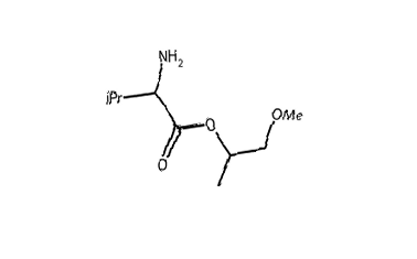 COCC(C)OC(=O)C(N)C(C)C